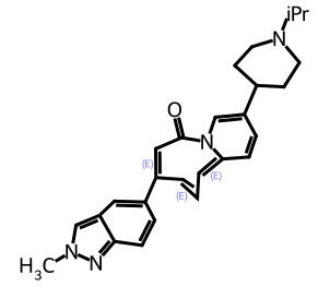 CC(C)N1CCC(C2=CN3C(=O)\C=C(c4ccc5nn(C)cc5c4)/C=C/C=C/3C=C2)CC1